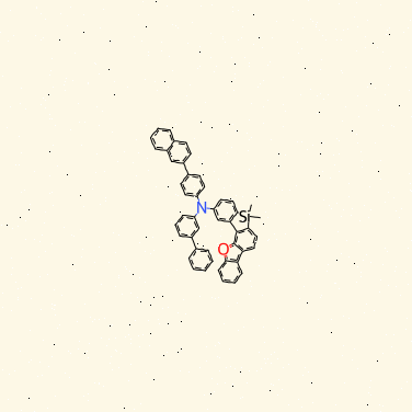 C[Si]1(C)c2ccc(N(c3ccc(-c4ccc5ccccc5c4)cc3)c3cccc(-c4ccccc4)c3)cc2-c2c1ccc1c2oc2ccccc21